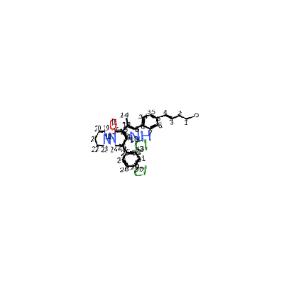 CCCC=Cc1ccc(-c2[nH]c3c(c2C)C(=O)N(N2CCCCC2)CC3c2ccc(Cl)cc2Cl)cc1